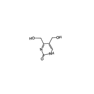 O=c1nc(CO)c(CO)c[nH]1